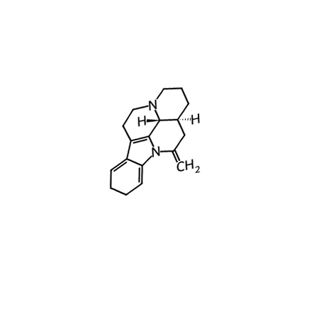 C=C1C[C@@H]2CCCN3CCc4c(n1c1c4=CCCC=1)[C@@H]23